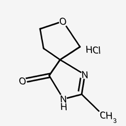 CC1=NC2(CCOC2)C(=O)N1.Cl